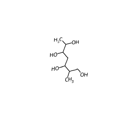 CC(O)C(O)CC(O)C(C)CO